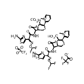 C[n+]1ccccc1C1=C(C(=O)O)N2C(=O)C(NC(=O)C(=NOC(F)F)c3csc(N)n3)C2CS1.C[n+]1ccccc1C1=C(C(=O)O)N2C(=O)C(NC(=O)C(=NOC(F)F)c3csc(N)n3)C2CS1.O=C([O-])C(F)(F)F.O=S(=O)([O-])C(F)(F)F